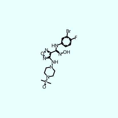 CP(C)(=O)N1CCN(Nc2nonc2C(=NO)Nc2ccc(F)c(Br)c2)CC1